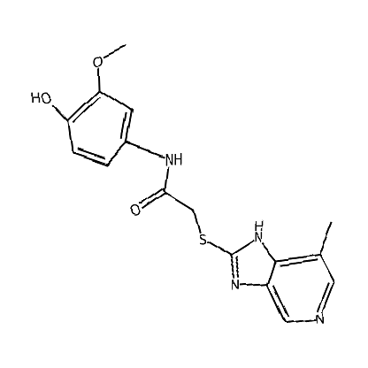 COc1cc(NC(=O)CSc2nc3cncc(C)c3[nH]2)ccc1O